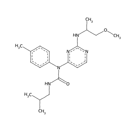 COCC(C)Nc1nccc(N(C(=O)NCC(C)C)c2ccc(C)cc2)n1